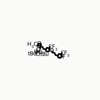 CC1=NC(CCc2ccc(OCCCc3ccc(F)c(C(F)(F)F)c3)c(C(F)(F)F)c2)(COP(=O)(OC(C)(C)C)OC(C)(C)C)CO1